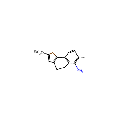 CCOC(=O)c1cc2c(s1)-c1ccc(C)c(N)c1CC2